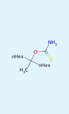 CCCCCCC(C)(CCCCCC)OC(N)=S